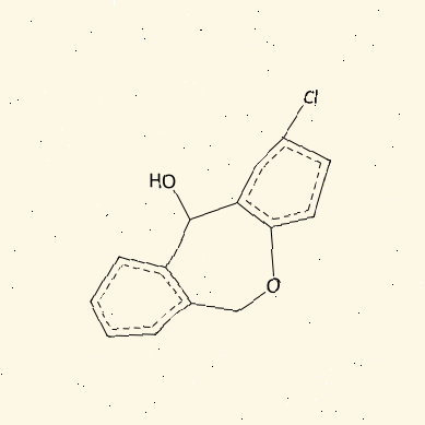 OC1c2ccccc2COc2ccc(Cl)cc21